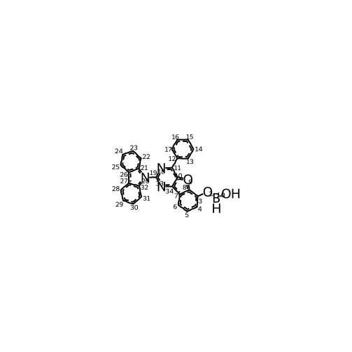 OBOc1cccc2c1oc1c(-c3ccccc3)nc(-n3c4ccccc4c4ccccc43)nc12